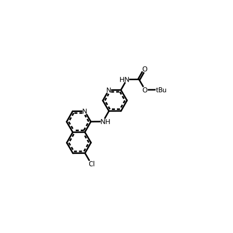 CC(C)(C)OC(=O)Nc1ccc(Nc2nccc3ccc(Cl)cc23)cn1